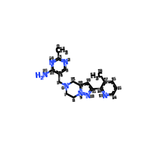 Cc1ncc(CN2CCn3nc(-c4ncccc4C)cc3C2)c(N)n1